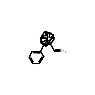 C=C[C]12[CH]3[CH]4[CH]5[C]1(c1ccccc1)[Fe]43521678[CH]2[CH]1[CH]6[CH]7[CH]28